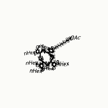 CCCCCCOc1cc(OCCCCCC)cc(-c2c3nc(c(-c4cc(OCCCCCC)cc(OCCCCCC)c4)c4ccc([nH]4)c(-c4cc(OCCCCCC)cc(OCCCCCC)c4)c4nc(c(-c5ccc(OCCCCCCCCCCCCOC(C)=O)cc5)c5ccc2[nH]5)C=C4)C=C3)c1